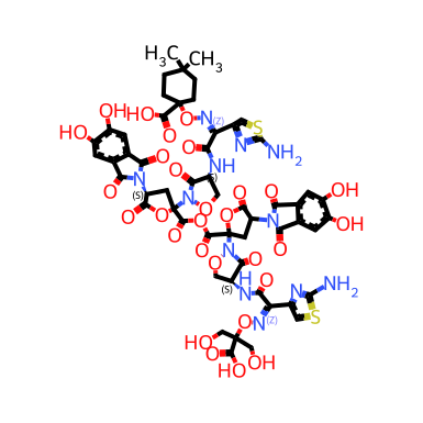 CC1(C)CCC(O/N=C(\C(=O)N[C@H]2CON(C3(C(=O)OC(=O)C4(N5OC[C@H](NC(=O)/C(=N\OC(CO)(CO)C(=O)O)c6csc(N)n6)C5=O)CC(N5C(=O)c6cc(O)c(O)cc6C5=O)C(=O)O4)C[C@H](N4C(=O)c5cc(O)c(O)cc5C4=O)C(=O)O3)C2=O)c2csc(N)n2)(C(=O)O)CC1